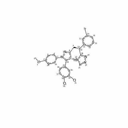 COc1ccc(-n2nc(C[C@@H](c3cccc(C)c3)c3nnn[nH]3)cc2-c2ccc(Cl)c(Cl)c2)cc1